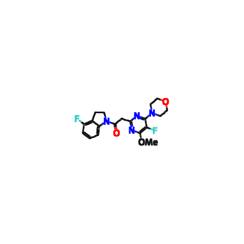 COc1nc(CC(=O)N2CCc3c(F)cccc32)nc(N2CCOCC2)c1F